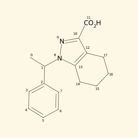 CC(c1ccccc1)n1nc(C(=O)O)c2c1CCCC2